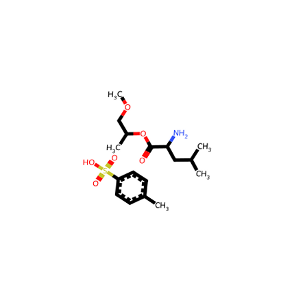 COCC(C)OC(=O)C(N)CC(C)C.Cc1ccc(S(=O)(=O)O)cc1